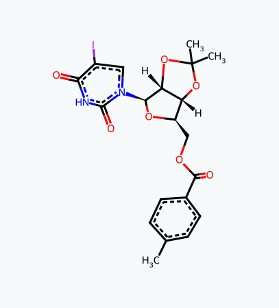 Cc1ccc(C(=O)OC[C@H]2O[C@@H](n3cc(I)c(=O)[nH]c3=O)[C@@H]3OC(C)(C)O[C@@H]32)cc1